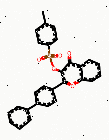 Cc1ccc(S(=O)(=O)Oc2c(-c3ccc(-c4ccccc4)cc3)oc3ccccc3c2=O)cc1